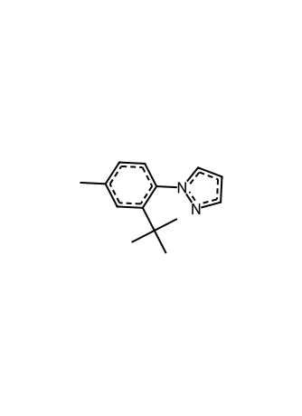 Cc1ccc(-n2cccn2)c(C(C)(C)C)c1